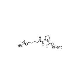 CCCCCOC(=O)N1CCC[C@H]1C(=O)NCCCCO[Si](C)(C)C(C)(C)C